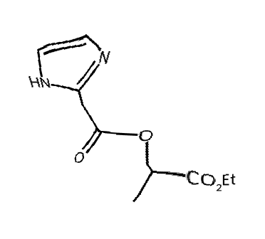 CCOC(=O)C(C)OC(=O)c1ncc[nH]1